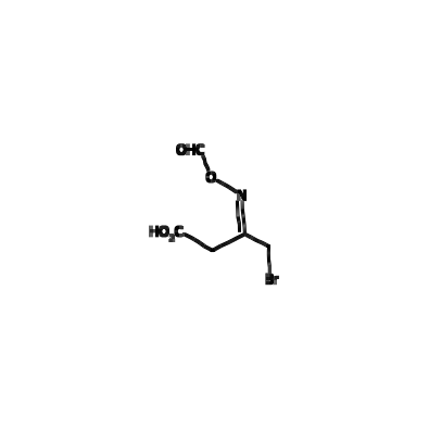 O=CO/N=C(/CBr)CC(=O)O